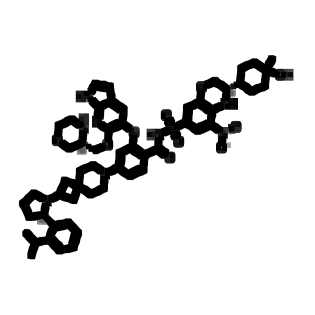 CC(C)c1ccccc1[C@H]1CCCN1C1CC2(CCN(c3ccc(C(=O)NS(=O)(=O)c4cc5c(c([N+](=O)[O-])c4)N[C@@H](C4CCC(C)(O)CC4)CO5)c(Oc4cc5cc[nH]c5nc4OC[C@@H]4COCCN4)c3)CC2)C1